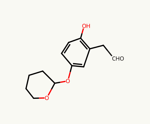 O=CCc1cc(OC2CCCCO2)ccc1O